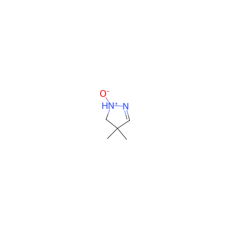 CC1(C)C=N[NH+]([O-])C1